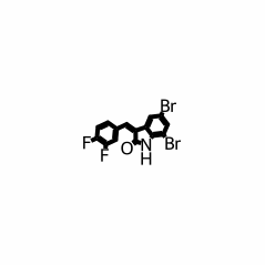 O=C1Nc2c(Br)cc(Br)cc2C1=Cc1ccc(F)c(F)c1